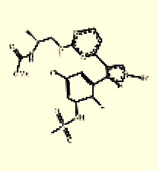 COC(=O)N[C@@H](C)CNc1nccc(-c2cn(C(C)C)nc2C2=CC(Cl)=CC(NS(C)(=O)=O)C2F)n1